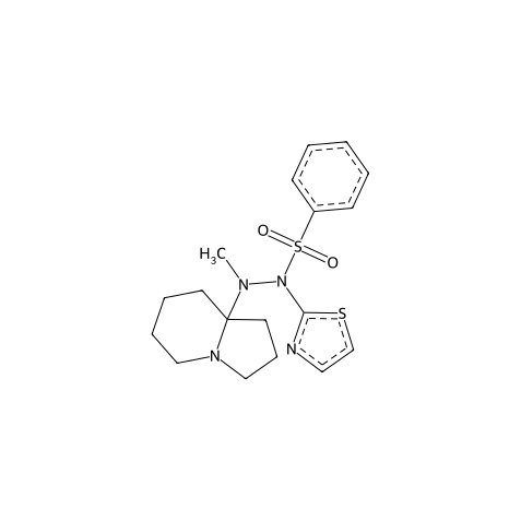 CN(N(c1nccs1)S(=O)(=O)c1ccccc1)C12CCCCN1CCC2